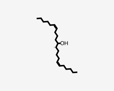 CCCCC/C=C\CCC[CH]C(O)CCC/C=C\CCCCC